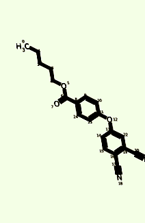 CCCCCOC(=O)c1ccc(Oc2ccc(C#N)c(C#N)c2)cc1